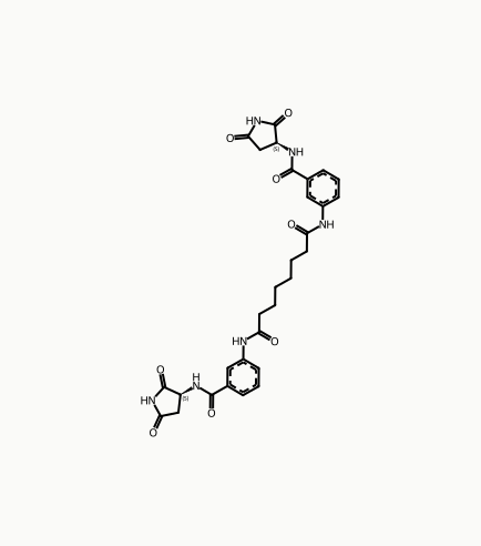 O=C1C[C@H](NC(=O)c2cccc(NC(=O)CCCCCCC(=O)Nc3cccc(C(=O)N[C@H]4CC(=O)NC4=O)c3)c2)C(=O)N1